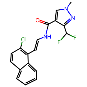 Cn1cc(C(=O)N/C=C/c2c(Cl)ccc3ccccc23)c(C(F)F)n1